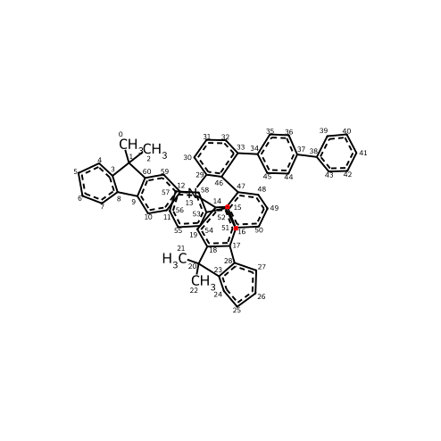 CC1(C)c2ccccc2-c2ccc(N(c3ccc4c(c3)C(C)(C)c3ccccc3-4)c3cccc(-c4ccc(-c5ccccc5)cc4)c3-c3ccccc3-c3ccccc3)cc21